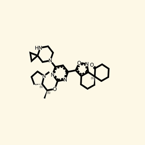 C[C@H](Oc1nc(-c2onc3c2CCC[C@@]32CCCCC2=O)cc(N2CCNC3(CC3)C2)n1)[C@@H]1CCCN1C